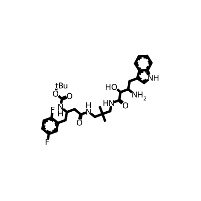 CC(C)(CNC(=O)CC(Cc1cc(F)ccc1F)NC(=O)OC(C)(C)C)CNC(=O)C(O)C(N)Cc1c[nH]c2ccccc12